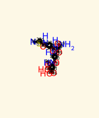 CC(C)Oc1c(NC(=O)c2ccc(NC(=O)C(CC(N)=O)NC(=O)c3ccc(NC(=O)c4ccc(C#N)s4)cc3)cc2)ccc(C(=O)O)c1O